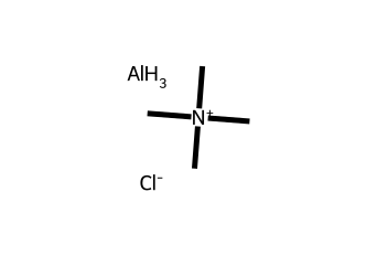 C[N+](C)(C)C.[AlH3].[Cl-]